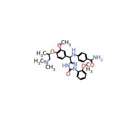 COc1cc(C(Nc2ccc(C(N)=O)cc2)c2nn(-c3ccccc3OC)c(=O)[nH]2)ccc1OC(C)CN(C)C